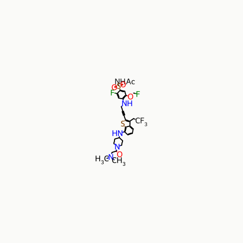 CC(=O)NS(=O)(=O)c1cc(OCF)c(NCC#Cc2sc3c(NC4CCN(C(=O)CN(C)C)CC4)cccc3c2CC(F)(F)F)cc1F